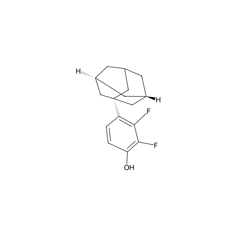 Oc1ccc([C@]23CC4C[C@@H](C[C@H](C4)C2)C3)c(F)c1F